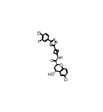 O=C(NC12CC(c3nc(-c4ccc(Cl)c(F)c4)no3)(C1)C2)[C@@H]1C[C@@H](O)c2cc(Cl)ccc2O1